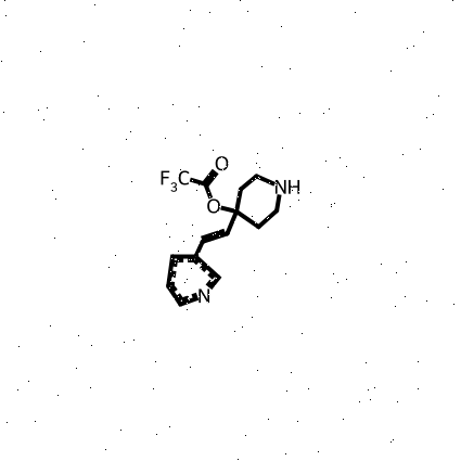 O=C(OC1(C=Cc2cccnc2)CCNCC1)C(F)(F)F